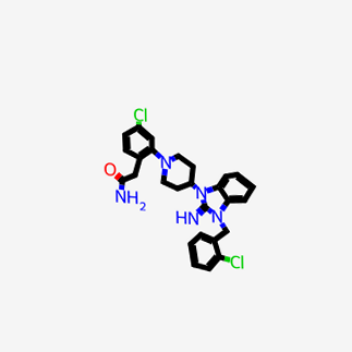 N=c1n(Cc2ccccc2Cl)c2ccccc2n1C1CCN(c2cc(Cl)ccc2CC(N)=O)CC1